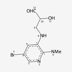 CNc1ncc(Br)cc1NCC(O)C=O